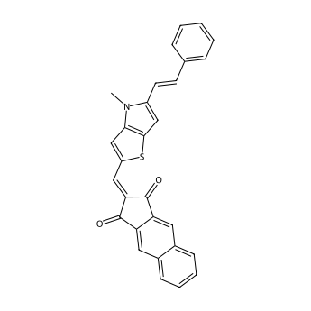 Cn1c(/C=C/c2ccccc2)cc2sc(C=C3C(=O)c4cc5ccccc5cc4C3=O)cc21